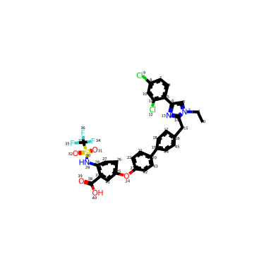 CCn1cc(-c2ccc(Cl)cc2Cl)nc1Cc1ccc(-c2ccc(Oc3ccc(NS(=O)(=O)C(F)(F)F)c(C(=O)O)c3)cc2)cc1